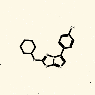 N#Cc1ccc(-c2cnc3sc(NC4CCCCC4)nn23)cc1